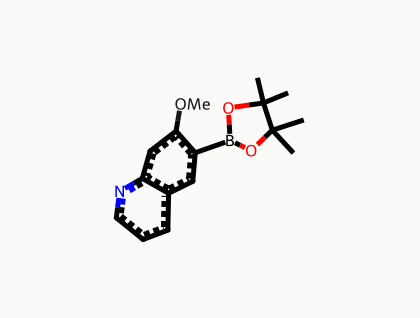 COc1cc2ncccc2cc1B1OC(C)(C)C(C)(C)O1